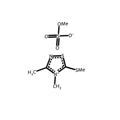 COS(=O)(=O)[O-].CSc1snc(C)[n+]1C